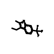 CCc1c2ccc(C(F)(F)F)cc2nn1C